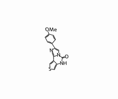 COc1ccc(-c2cn3c(=O)[nH]c4cscc4c3n2)cc1